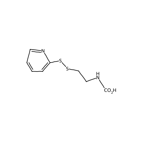 O=C(O)NCCSSc1ccccn1